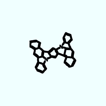 c1ccc2c(c1)cc1c3ccccc3n3c4cc5c6c7ccccc7cc7c8ccccc8n(c5cc4c2c13)c76